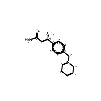 C[C@H](CC(N)=O)c1ccc(CN2CCCCC2)cc1